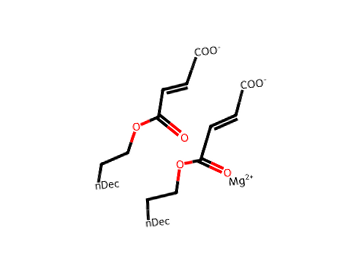 CCCCCCCCCCCCOC(=O)C=CC(=O)[O-].CCCCCCCCCCCCOC(=O)C=CC(=O)[O-].[Mg+2]